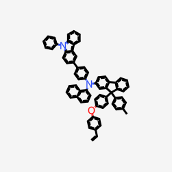 C=Cc1ccc(Oc2ccc(C3(c4ccc(C)cc4)c4ccccc4-c4ccc(N(c5ccc(-c6ccc7c(c6)c6ccccc6n7-c6ccccc6)cc5)c5cccc6ccccc56)cc43)cc2)cc1